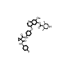 COc1cc2nccc(Oc3ccc(NC(=O)C4(C(=O)Nc5ccc(F)cc5)CC4)cc3)c2cc1OC(=O)N1[C@H](C)CNC[C@@H]1C